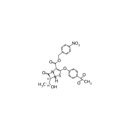 C[C@@H](O)[C@H]1C(=O)N2C(C(=O)OCc3ccc([N+](=O)[O-])cc3)=C(Oc3ccc(S(C)(=O)=O)cc3)S[C@H]12